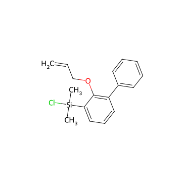 C=CCOc1c(-c2ccccc2)cccc1[Si](C)(C)Cl